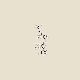 COc1cc(-c2ccc(COc3cccc(C(CC(=O)NNC(N)=O)C4CC4)c3)cc2CN(C(C)C)C(C)C)c(F)cn1